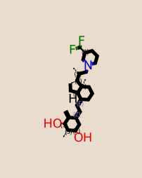 C=C1/C(=C\C=C2/CCC[C@]3(C)[C@@H]([C@H](C)CN4CCC[C@H](C(F)F)C4)CC[C@@H]23)C[C@@H](O)[C@H](C)[C@@H]1O